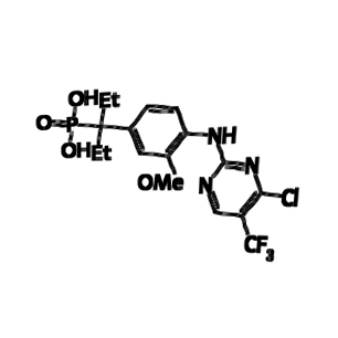 CCC(CC)(c1ccc(Nc2ncc(C(F)(F)F)c(Cl)n2)c(OC)c1)P(=O)(O)O